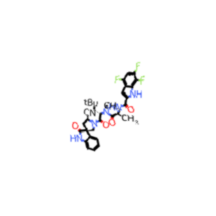 C[C@H](NC(=O)c1cc2c(F)cc(F)c(F)c2[nH]1)C(=O)N(C)[C@@H](CC(C)(C)C)C(=O)N1C[C@]2(C[C@H]1C#N)C(=O)Nc1ccccc12